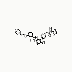 O=C(CN1CCN(c2c(Cl)cnc3[nH]c(-c4cccc(OCCN5CCOCC5)c4)nc23)CC1)Nc1nccs1